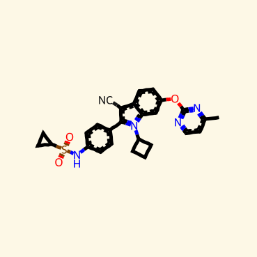 Cc1ccnc(Oc2ccc3c(C#N)c(-c4ccc(NS(=O)(=O)C5CC5)cc4)n(C4CCC4)c3c2)n1